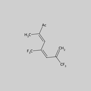 C=C(/C=C(\C=C(/C)C(C)=O)C(F)(F)F)C(F)(F)F